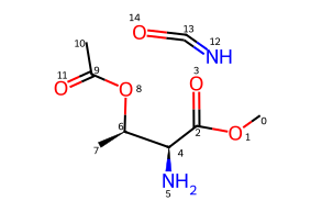 COC(=O)[C@@H](N)[C@@H](C)OC(C)=O.N=C=O